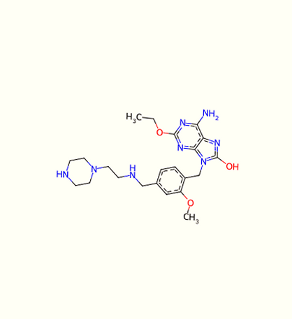 CCOc1nc(N)c2nc(O)n(Cc3ccc(CNCCN4CCNCC4)cc3OC)c2n1